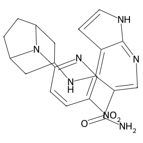 NC(=O)c1cnc2[nH]ccc2c1NC1CC2CCC(C1)N2c1ccc([N+](=O)[O-])cn1